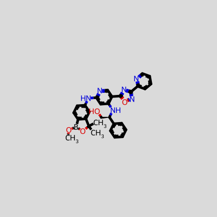 COB1OC(C)(C)c2cc(Nc3cc(N[C@H](CO)c4ccccc4)c(-c4nc(-c5ccccn5)no4)cn3)ccc21